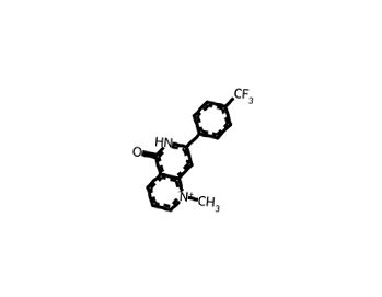 C[n+]1cccc2c(=O)[nH]c(-c3ccc(C(F)(F)F)cc3)cc21